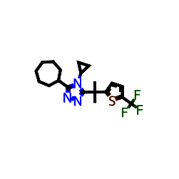 CC(C)(c1ccc(C(F)(F)F)s1)c1nnc(C2CCCCCC2)n1C1CC1